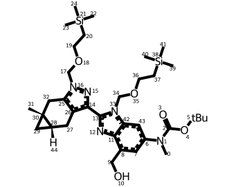 CN(C(=O)OC(C)(C)C)c1cc(CO)c2nc(-c3nn(COCC[Si](C)(C)C)c4c3C[C@@H]3C[C@]3(C)C4)n(COCC[Si](C)(C)C)c2c1